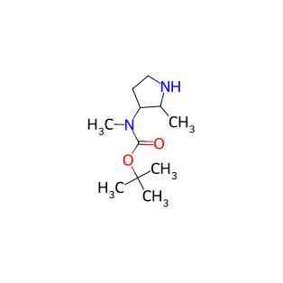 CC1NCCC1N(C)C(=O)OC(C)(C)C